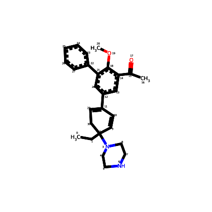 CCC1(N2CCNCC2)C=CC(c2cc(C(C)=O)c(OC)c(-c3ccccc3)c2)=CC1